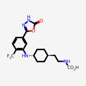 O=C(O)NCC[C@H]1CC[C@H](Nc2cc(-c3n[nH]c(=O)o3)ccc2C(F)(F)F)CC1